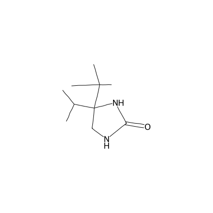 CC(C)C1(C(C)(C)C)CNC(=O)N1